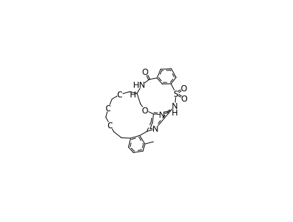 Cc1cccc2c1-c1cc3nc(n1)NS(=O)(=O)c1cccc(c1)C(=O)N[C@H](CCCCCCCC2)CO3